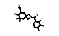 Cc1ccc(C(=O)N2CC3(C=C(C#N)C(=O)C(C)(C)C3)C2)c(F)c1F